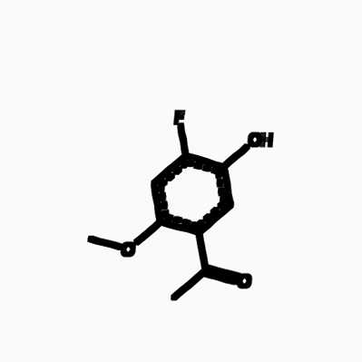 COc1cc(F)c(O)cc1C(C)=O